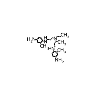 CCCN(CCCNc1ccc(N)cc1C)C(C)CCNc1ccc(N)cc1C